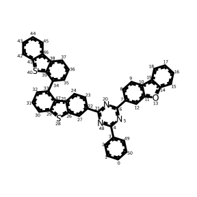 c1ccc(-c2nc(-c3ccc4c(c3)oc3ccccc34)nc(-c3ccc4c(c3)sc3cccc(-c5cccc6c5sc5ccccc56)c34)n2)cc1